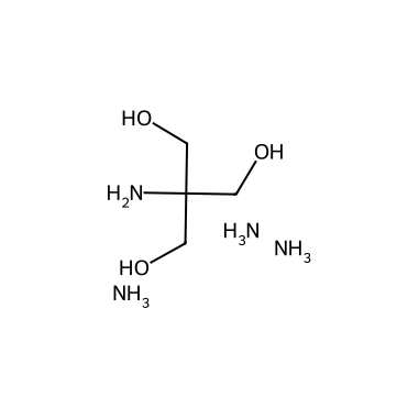 N.N.N.NC(CO)(CO)CO